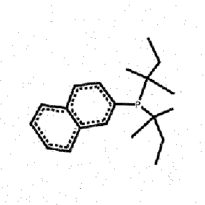 CCC(C)(C)P(c1ccc2ccccc2c1)C(C)(C)CC